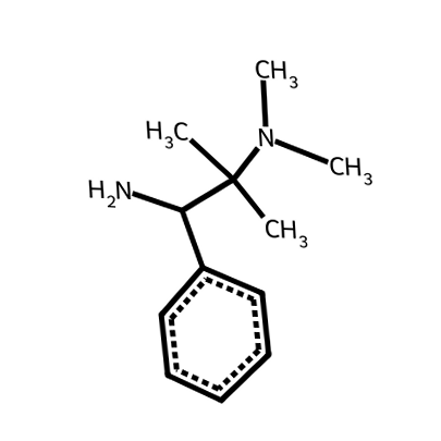 CN(C)C(C)(C)C(N)c1ccccc1